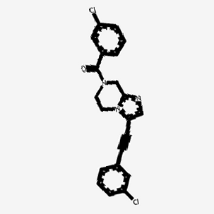 O=C(c1cccc(Cl)c1)N1CCn2c(C#Cc3cccc(Cl)c3)cnc2C1